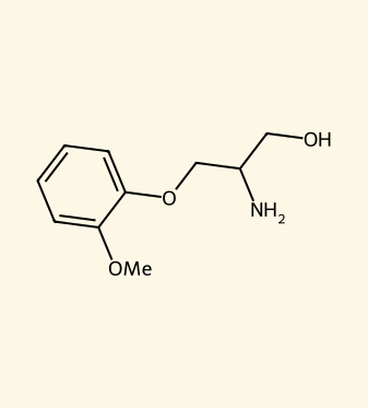 COc1ccccc1OCC(N)CO